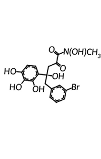 CN(O)C(=O)C(=O)C[C@](O)(Cc1cccc(Br)c1)c1ccc(O)c(O)c1O